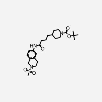 CC(C)(C)OC(=O)N1CCC(CCCC(=O)Nc2ccc3c(c2)CCN(S(C)(=O)=O)C3)CC1